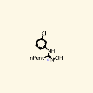 CCCCC/C(=N/O)Nc1cccc(Cl)c1